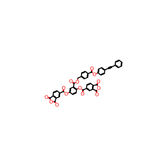 O=C(Oc1ccc(C#Cc2ccccc2)cc1)c1ccc(COC(=O)c2cc(OC(=O)c3ccc4c(c3)C(=O)OC4=O)ccc2OC(=O)c2ccc3c(c2)C(=O)OC3=O)cc1